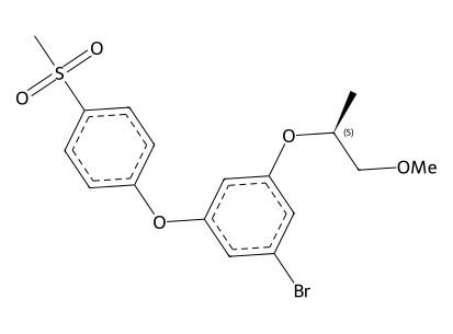 COC[C@H](C)Oc1cc(Br)cc(Oc2ccc(S(C)(=O)=O)cc2)c1